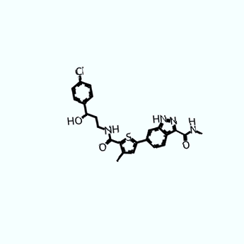 CNC(=O)c1n[nH]c2cc(-c3cc(C)c(C(=O)NCCC(O)c4ccc(Cl)cc4)s3)ccc12